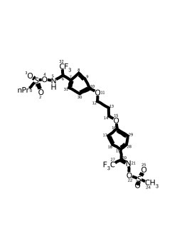 CCCS(=O)(=O)ONC(c1ccc(OCCCOc2ccc(/C(=N/OS(C)(=O)=O)C(F)(F)F)cc2)cc1)C(F)(F)F